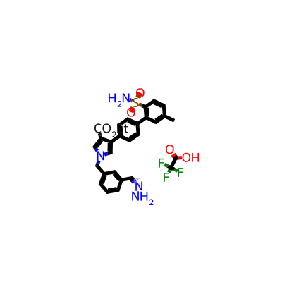 CCOC(=O)c1cn(Cc2cccc(/C=N\N)c2)cc1-c1ccc(-c2cc(C)ccc2S(N)(=O)=O)cc1.O=C(O)C(F)(F)F